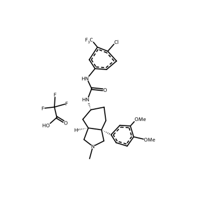 COc1ccc([C@@]23CC[C@@H](NC(=O)Nc4ccc(Cl)c(C(F)(F)F)c4)C[C@@H]2CN(C)C3)cc1OC.O=C(O)C(F)(F)F